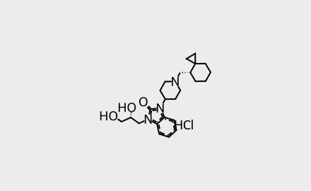 Cl.O=c1n(C[C@@H](O)CO)c2ccccc2n1C1CCN(C[C@H]2CCCCC23CC3)CC1